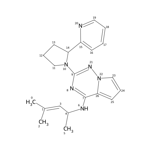 CC(C)=CC(C)Nc1nc(N2CCCC2c2ccccn2)nn2cccc12